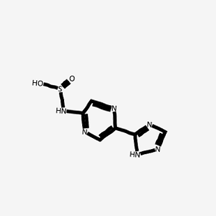 O=S(O)Nc1cnc(-c2ncn[nH]2)cn1